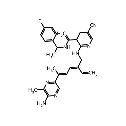 C=C/C(=C\C=C(/C)c1cnc(N)c(C)n1)CNC1=NC=C(C#N)CC1C(=C)NC(C)c1ccc(F)cc1